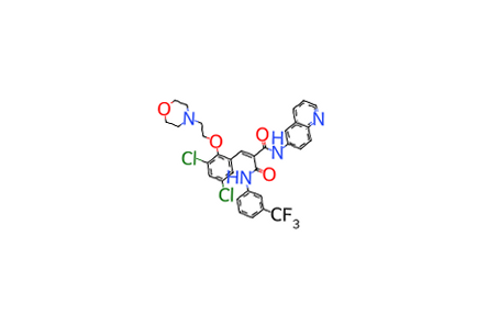 O=C(Nc1cccc(C(F)(F)F)c1)C(=Cc1cc(Cl)cc(Cl)c1OCCN1CCOCC1)C(=O)Nc1ccc2ncccc2c1